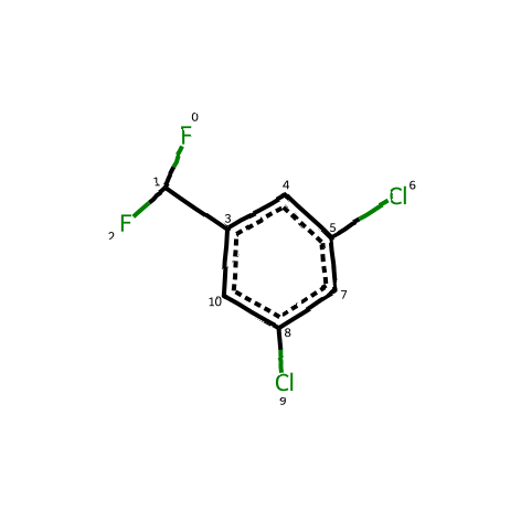 FC(F)c1cc(Cl)cc(Cl)c1